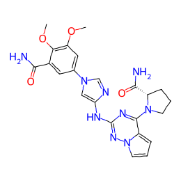 COc1cc(-n2cnc(Nc3nc(N4CCC[C@H]4C(N)=O)c4cccn4n3)c2)cc(C(N)=O)c1OC